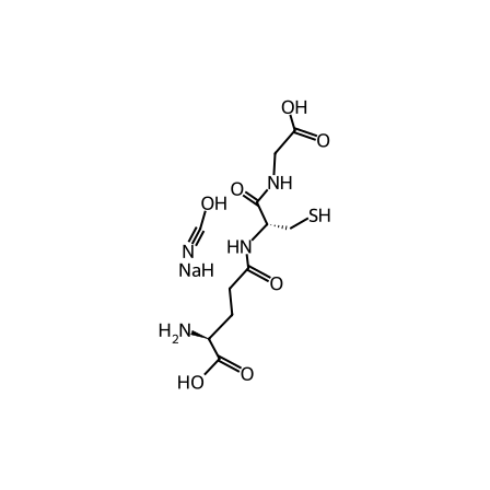 N#CO.N[C@@H](CCC(=O)N[C@@H](CS)C(=O)NCC(=O)O)C(=O)O.[NaH]